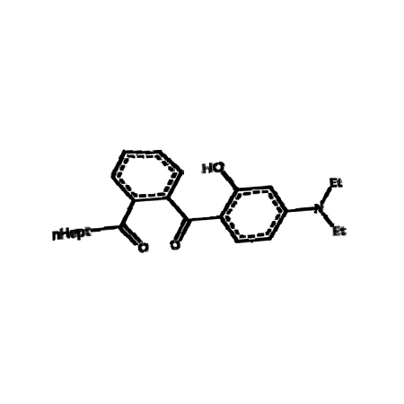 CCCCCCCC(=O)c1ccccc1C(=O)c1ccc(N(CC)CC)cc1O